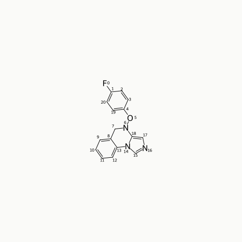 Fc1ccc(ON2Cc3ccccc3-n3cncc32)cc1